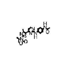 CC(=O)Nc1ccc(Nc2nccc(-c3sc(N4C(=O)OCC4C)nc3C)n2)cc1